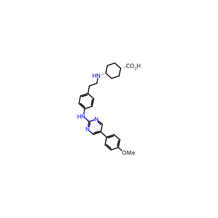 COc1ccc(-c2cnc(Nc3ccc(CCN[C@H]4CC[C@@H](C(=O)O)CC4)cc3)nc2)cc1